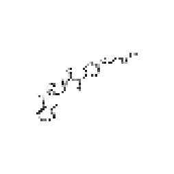 CCOCCOc1ccc(NC(=O)N2CC3CC2CN3C(C)c2ccccc2C)cc1